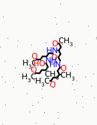 CC(=O)CCC(C)CC(=O)NCCCC(CC(C)=O)NC(=O)CC(CCC(C)=O)NC(O)CC(C)CCC(C)=O